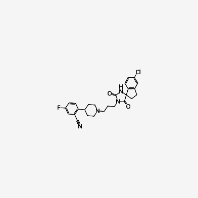 N#Cc1cc(F)ccc1C1CCN(CCCN2C(=O)NC3(CCc4cc(Cl)ccc43)C2=O)CC1